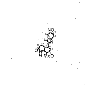 COc1ccc(-c2nc3ccc([N+](=O)[O-])cn3c2C)c2ccc(=O)[nH]c12